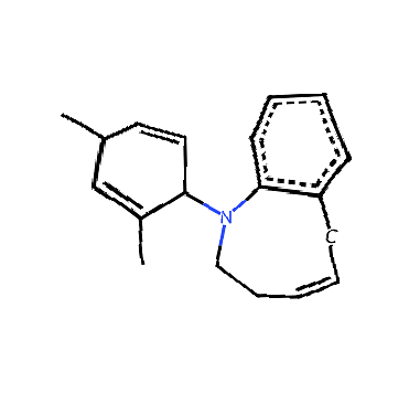 CC1=CC(C)C=CC1N1CCC=CCc2ccccc21